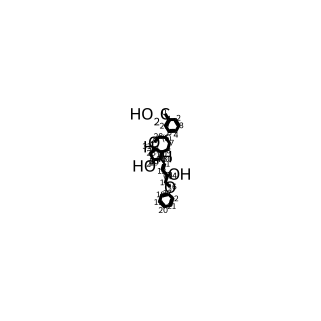 O=C(O)c1cccc([C@@H]2CC[C@@H]3[C@@H](C=C[C@@H](O)COc4ccccc4)[C@H](O)C[C@@H]3OC2)c1